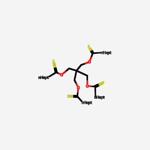 CCCCCCCC(=S)OCC(COC(=S)CCCCCCC)(COC(=S)CCCCCCC)COC(=S)CCCCCCC